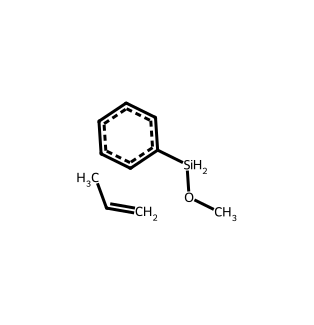 C=CC.CO[SiH2]c1ccccc1